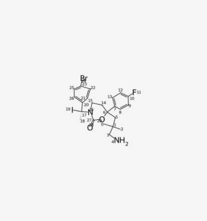 CC(C)(CN)CC1(c2ccc(F)cc2)CCN([C@@](C)(I)c2ccc(Br)cc2)C(=O)O1